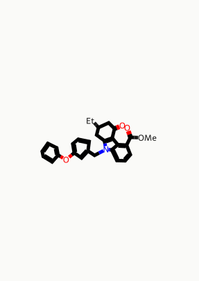 CCC1CC(=O)c2c(n(Cc3cccc(Oc4ccccc4)c3)c3cccc(C(=O)OC)c23)C1